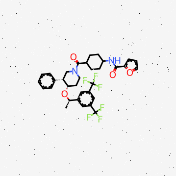 C[C@@H](O[C@H]1CCN(C(=O)C2CCC(NC(=O)c3ccco3)CC2)C[C@H]1c1ccccc1)c1cc(C(F)(F)F)cc(C(F)(F)F)c1